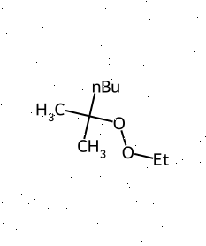 [CH2]COOC(C)(C)CCCC